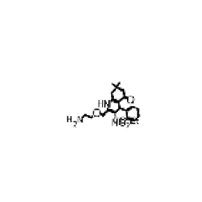 CCOC(=O)C1=C(COCCN)NC2=C(C(=O)CC(C)(C)C2)C1c1ccccc1O